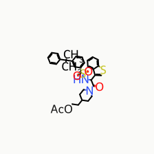 CC(=O)OCCC1CCN(C(=O)C(NS(=O)(=O)c2cccc(C(C)(C)c3ccccc3)c2)c2csc3ccccc23)CC1